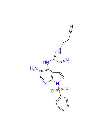 N#CCCN/C=C(\C=N)Nc1c(N)cnc2c1ccn2S(=O)(=O)c1ccccc1